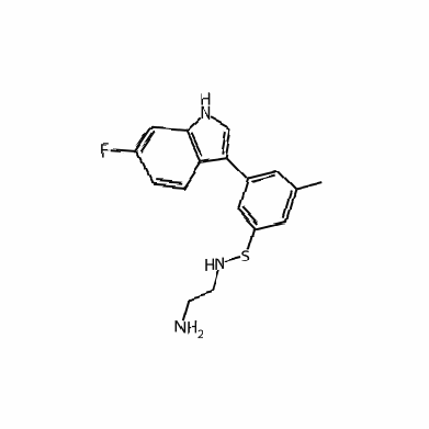 Cc1cc(SNCCN)cc(-c2c[nH]c3cc(F)ccc23)c1